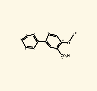 O=C(O)c1cc(-c2ccccc2)ccc1OI